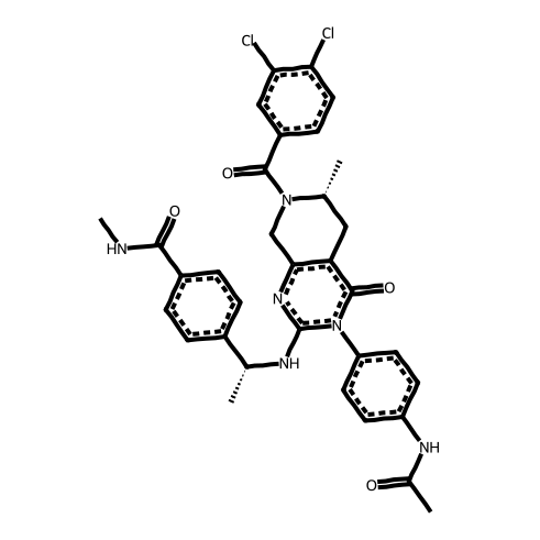 CNC(=O)c1ccc([C@@H](C)Nc2nc3c(c(=O)n2-c2ccc(NC(C)=O)cc2)C[C@@H](C)N(C(=O)c2ccc(Cl)c(Cl)c2)C3)cc1